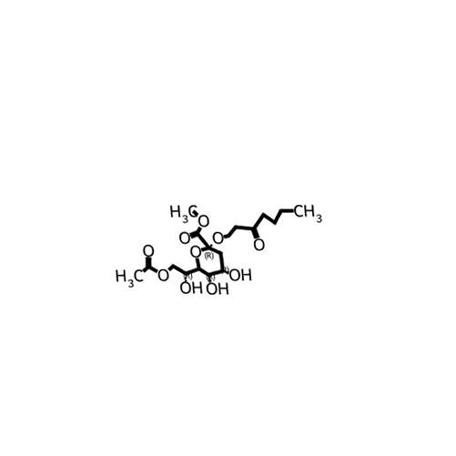 CCCCC(=O)CCO[C@]1(C(=O)OC)C[C@@H](O)[C@@H](O)C([C@H](O)COC(C)=O)O1